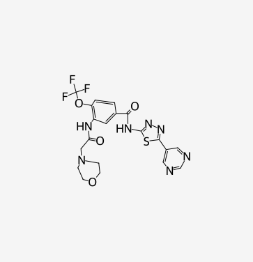 O=C(CN1CCOCC1)Nc1cc(C(=O)Nc2nnc(-c3cncnc3)s2)ccc1OC(F)(F)F